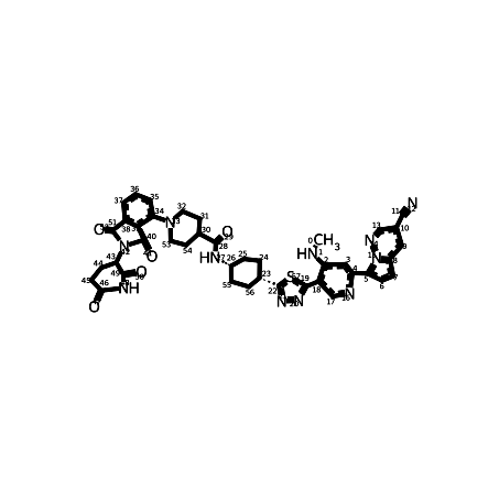 CNc1cc(-c2ccc3cc(C#N)cnn23)ncc1-c1nnc([C@H]2CC[C@@H](NC(=O)C3CCN(c4cccc5c4C(=O)N(C4CCC(=O)NC4=O)C5=O)CC3)CC2)s1